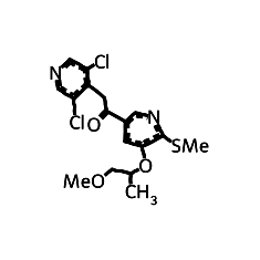 COCC(C)Oc1cc(C(=O)Cc2c(Cl)cncc2Cl)cnc1SC